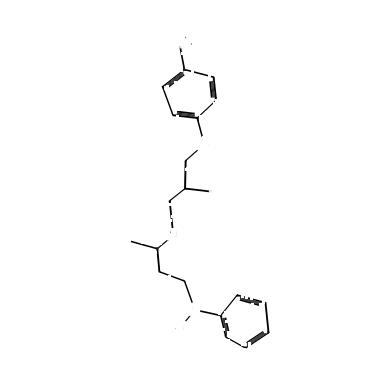 CCC(CC[S+]([O-])c1ccccc1)NCC(O)COc1ccc(C#N)cc1